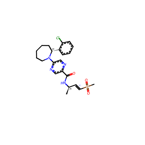 C[C@H](/C=C/S(C)(=O)=O)NC(=O)c1cnc(N2CCCCC[C@@H]2c2ccccc2Cl)cn1